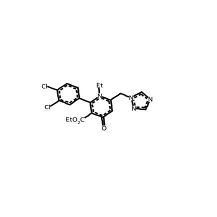 CCOC(=O)c1c(-c2ccc(Cl)c(Cl)c2)n(CC)c(Cn2cncn2)cc1=O